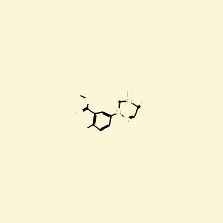 COC(=O)c1cc(-n2ncc(=O)[nH]c2=O)ccc1Cl